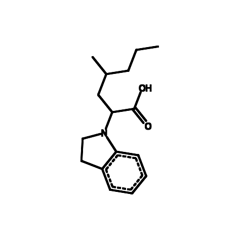 CCCC(C)CC(C(=O)O)N1CCc2ccccc21